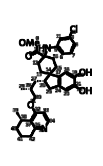 COC(=O)C1(Nc2cccc(Cl)c2)CCC2(CC1)c1cc(O)c(O)cc1C[C@@H]2C[C@@H](C)COc1ccnc2c1[C@H](C)CCC2